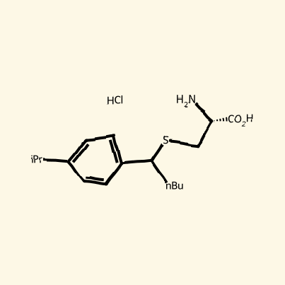 CCCCC(SC[C@H](N)C(=O)O)c1ccc(C(C)C)cc1.Cl